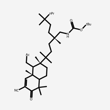 CCCC(C)(C)CC[C@@](C)(CCC(C)(C)[C@]1(C)CCC2C(C)(C)C(=O)C(C#N)=C[C@]2(C)C1CC(C)=O)CNC(=O)OC(C)(C)C